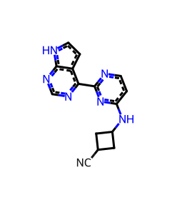 N#CC1CC(Nc2ccnc(-c3ncnc4[nH]ccc34)n2)C1